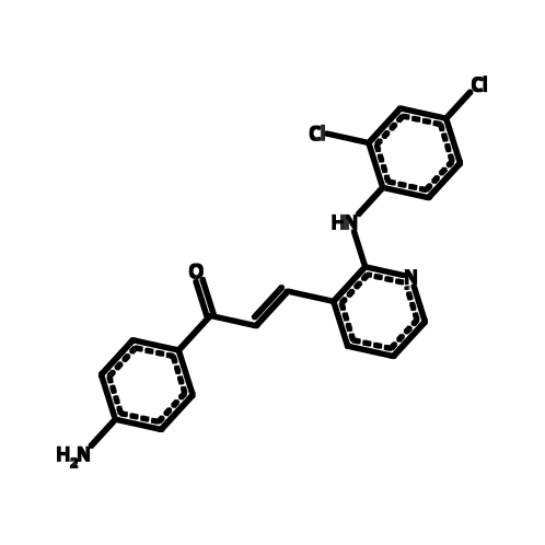 Nc1ccc(C(=O)C=Cc2cccnc2Nc2ccc(Cl)cc2Cl)cc1